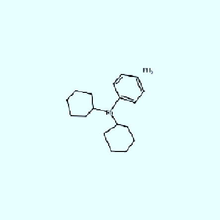 P.c1cc[c]([Rh]([CH]2CCCCC2)[CH]2CCCCC2)cc1